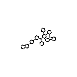 c1ccc(-c2cc(N(c3ccccc3)c3cccc(-c4ccc(-c5ccc6ccccc6c5)cc4)c3)ccc2-c2ccccc2-n2c3ccccc3c3ccccc32)cc1